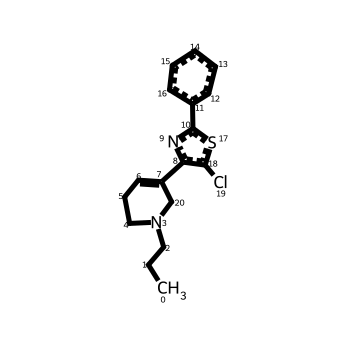 CCCN1CCC=C(c2nc(-c3ccccc3)sc2Cl)C1